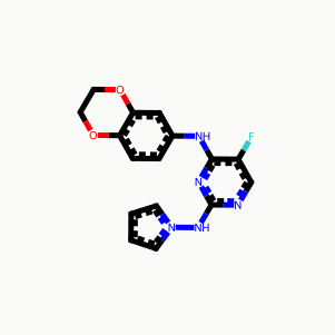 Fc1cnc(Nn2cccc2)nc1Nc1ccc2c(c1)OCCO2